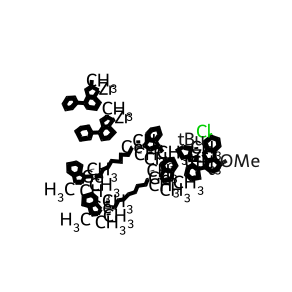 CC1=C(C)[CH]([Ge]([CH3])([CH3])[CH2]CCCCCC[CH2][Ge]([CH3])([CH3])[CH]2C(C)=C(C)c3ccccc32)c2ccccc21.CC1=C(C)[CH]([Ge]([CH3])([CH3])[CH2]CCCCCC[CH2][Ge]([CH3])([CH3])[CH]2C(C)=C(C)c3ccccc32)c2ccccc21.CC1=Cc2c(-c3ccccc3)cccc2[CH]1[Zr].CC1=Cc2c(-c3ccccc3)cccc2[CH]1[Zr].COc1ccc(-c2ccccc2)c2c1-c1ccc(Cl)cc1[CH]2[Zr]([CH3])([CH3])[C]1(C)C=CC(C(C)(C)C)=C1